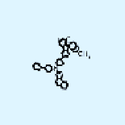 CC1CC2CC(C)C3(c4ccccc4-c4cc(-c5ccc(N(c6ccc(-c7ccccc7)cc6)c6ccc7c(ccc8ccccc87)c6)cc5)ccc43)C(C1)C2